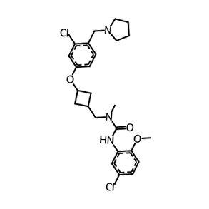 COc1ccc(Cl)cc1NC(=O)N(C)CC1CC(Oc2ccc(CN3CCCC3)c(Cl)c2)C1